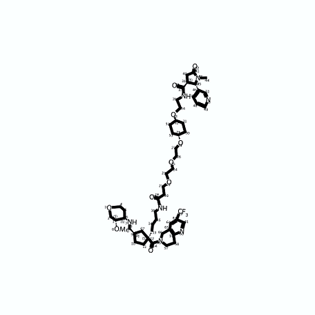 CO[C@@H]1COCC[C@@H]1NC[C@@H]1CC[C@](CCCCNC(=O)CCOCCOCCO[C@H]2CC[C@H](OCCNC(=O)[C@H]3CC(=O)N(C)[C@@H]3c3cccnc3)CC2)(C(=O)N2CCc3ncc(C(F)(F)F)cc3C2)C1